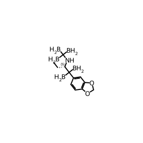 BC(B)(B)N[C@@H](CC)C(B)(B)c1ccc2c(c1)OCO2